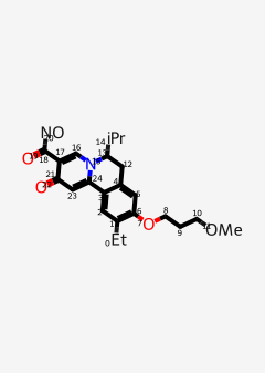 CCc1cc2c(cc1OCCCOC)CC(C(C)C)n1cc(C(=O)N=O)c(=O)cc1-2